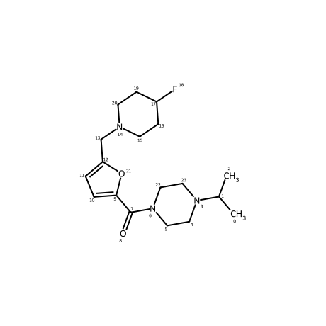 CC(C)N1CCN(C(=O)c2ccc(CN3CCC(F)CC3)o2)CC1